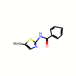 CSc1cnc(NC(=O)c2ccccc2)s1